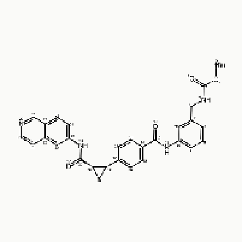 CC(C)(C)OC(=O)NCc1cccc(NC(=O)c2ccc(C3C[C@H]3C(=O)Nc3ccc4cnccc4c3)cc2)c1